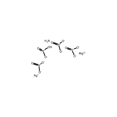 N.O=[N+]([O-])O.O=[N+]([O-])[O-].O=[N+]([O-])[O-].O=[N+]([O-])[O-].[Ag+].[Mg+2]